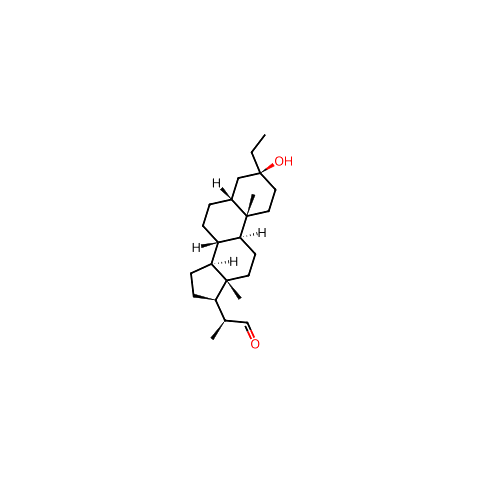 CC[C@]1(O)CC[C@@]2(C)[C@H](CC[C@@H]3[C@@H]2CC[C@]2(C)[C@@H]([C@H](C)C=O)CC[C@@H]32)C1